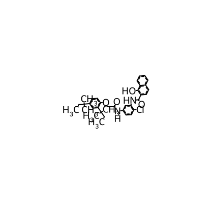 CCC(C)(C)c1ccc(OCC(=O)Nc2ccc(Cl)c(NC(=O)c3ccc4ccccc4c3O)c2)c(C(C)(C)CC)c1